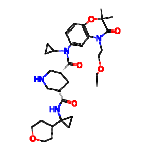 CCOCCN1C(=O)C(C)(C)Oc2ccc(N(C(=O)[C@H]3CNC[C@@H](C(=O)NC4(C5CCOCC5)CC4)C3)C3CC3)cc21